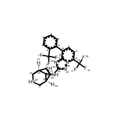 FC(F)(F)c1ccccc1-c1ccc(C(F)(F)F)n2nc(N[C@@H]3[C@@H]4CC[C@H]3CNC4)nc12